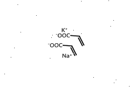 C=CC(=O)[O-].C=CC(=O)[O-].[K+].[Na+]